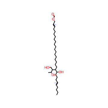 CCCC/C=C/CCCC(O)C(CCCCCCCCCCCCCCCC/C=C/COC=O)C(CO)C(C)O